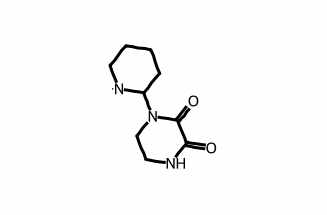 O=C1NCCN(C2CCCC[N]2)C1=O